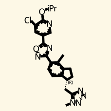 Cc1c(-c2noc(-c3cnc(OC(C)C)c(Cl)c3)n2)ccc2c1CC[C@@H]2Cc1nnnn1C